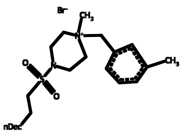 CCCCCCCCCCCCS(=O)(=O)N1CC[N+](C)(Cc2cccc(C)c2)CC1.[Br-]